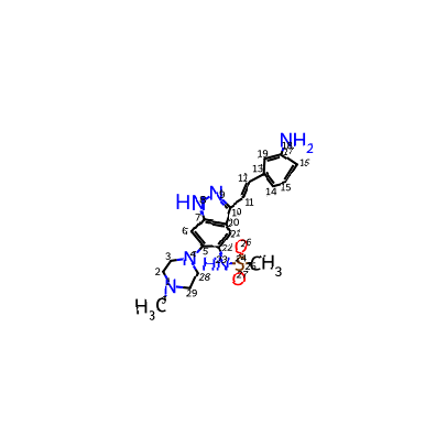 CN1CCN(c2cc3[nH]nc(C=Cc4cccc(N)c4)c3cc2NS(C)(=O)=O)CC1